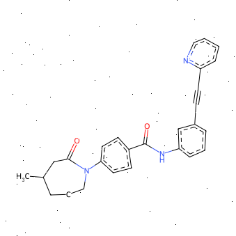 CC1CCCN(c2ccc(C(=O)Nc3cccc(C#Cc4ccccn4)c3)cc2)C(=O)C1